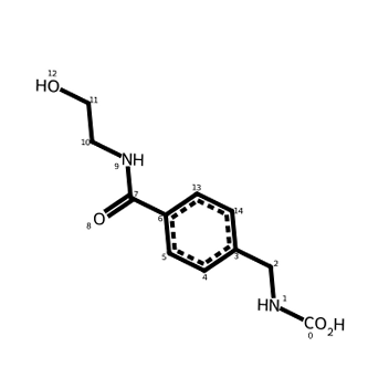 O=C(O)NCc1ccc(C(=O)NCCO)cc1